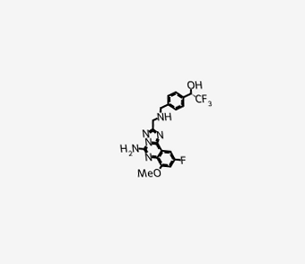 COc1cc(F)cc2c1nc(N)n1nc(CNCc3ccc([C@H](O)C(F)(F)F)cc3)nc21